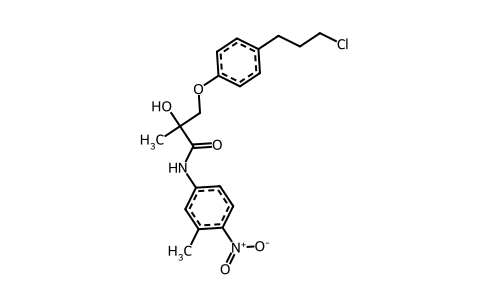 Cc1cc(NC(=O)C(C)(O)COc2ccc(CCCCl)cc2)ccc1[N+](=O)[O-]